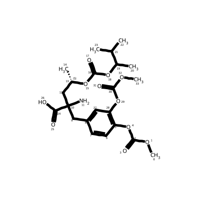 COC(=O)Oc1ccc(CC(N)(C[C@H](C)OC(=O)OC(C)C(C)C)C(=O)O)cc1OC(=O)OC